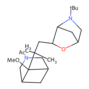 COC1(C(C)(C)CC2OC3CC2N(C(C)(C)C)C3)C2CC1CN(C(C)=O)C2